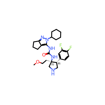 COCC[C@@]1(NC(=O)Nc2c3c(nn2C2CCCCC2)CCC3)CNC[C@H]1c1ccc(F)c(F)c1